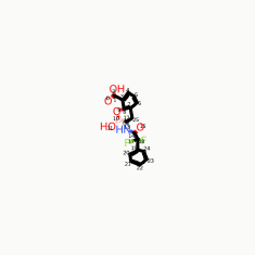 O=C(O)c1cccc2c1OB(O)[C@@H](NC(=O)C(F)(F)c1ccccc1)C2